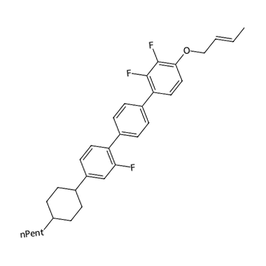 C/C=C/COc1ccc(-c2ccc(-c3ccc(C4CCC(CCCCC)CC4)cc3F)cc2)c(F)c1F